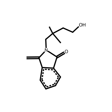 C=C1c2ccccc2C(=O)N1CC(C)(C)CCO